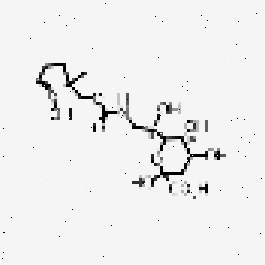 CC1(COC(=O)NC[C@@H](O)C2OC(O)(C(=O)O)CC(O)[C@H]2O)CCC=[N+]1O